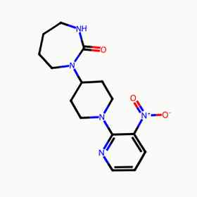 O=C1NCCCCN1C1CCN(c2ncccc2[N+](=O)[O-])CC1